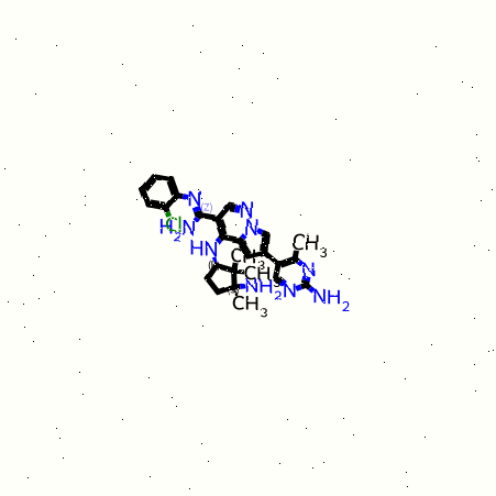 Cc1nc(N)ncc1-c1cc2c(N[C@@H]3CC[C@](C)(N)C3(C)C)c(/C(N)=N/c3ccccc3Cl)cnn2c1